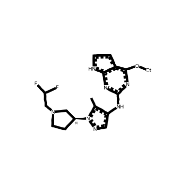 CCOc1nc(Nc2cnn([C@H]3CCN(CC(F)F)C3)c2C)nc2[nH]ccc12